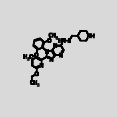 CCOc1cccc(-c2nc3ncc(NSCC4CCNCC4)nc3n2-c2c(OC)cccc2OC)n1